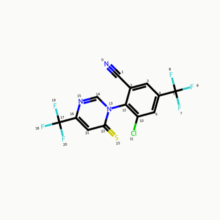 N#Cc1cc(C(F)(F)F)cc(Cl)c1-n1cnc(C(F)(F)F)cc1=S